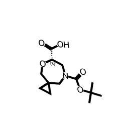 CC(C)(C)OC(=O)N1C[C@@H](C(=O)O)OCC2(CC2)C1